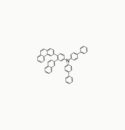 c1ccc(-c2ccc(N(c3ccc(-c4ccccc4)cc3)c3ccc(-c4ccc5ccc6ccccc6c5c4)c(-c4ccc5ccccc5c4)c3)cc2)cc1